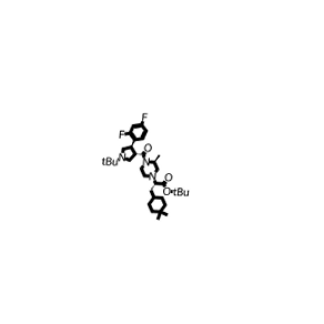 C[C@H]1CN([C@@H](CC2CCC(C)(C)CC2)C(=O)OC(C)(C)C)CCN1C(=O)[C@@H]1CN(C(C)(C)C)C[C@H]1c1ccc(F)cc1F